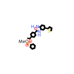 COP(=O)(OC(C)c1ccc(C(=O)Nc2cc(-c3cccs3)ccc2N)cc1)c1ccccc1